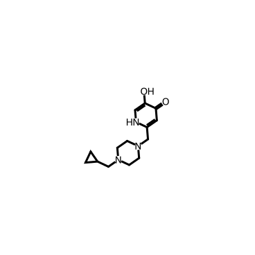 O=c1cc(CN2CCN(CC3CC3)CC2)[nH]cc1O